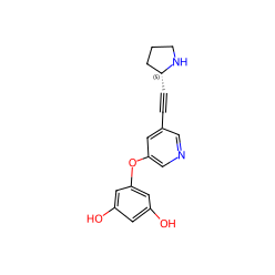 Oc1cc(O)cc(Oc2cncc(C#C[C@@H]3CCCN3)c2)c1